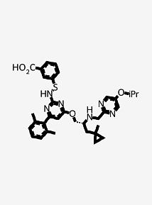 Cc1cccc(C)c1-c1cc(OC[C@@H](CC2(C)CC2)NCc2ncc(OC(C)C)cn2)nc(NSc2cccc(C(=O)O)c2)n1